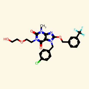 Cn1c(=O)n(CCOCCO)c(=O)c2c1nc(OCc1cccc(C(F)(F)F)c1)n2Cc1ccc(Cl)cc1